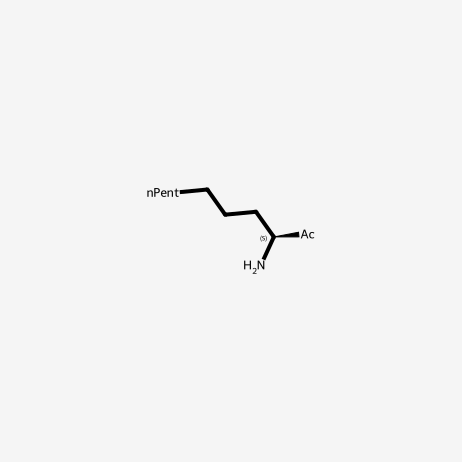 CCCCCCCC[C@H](N)C(C)=O